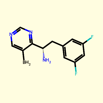 Bc1cncnc1[C@@H](N)Cc1cc(F)cc(F)c1